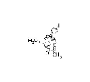 CCCC(CCC)=NOC(=O)C(C)Oc1ccc(Oc2ccc(I)cc2)cc1